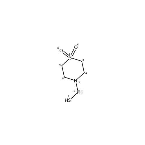 O=S1(=O)CCN(PS)CC1